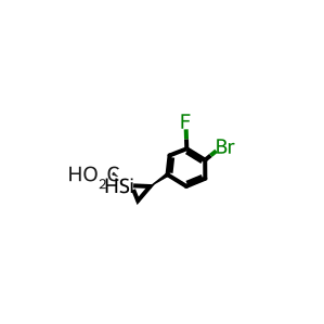 O=C(O)[Si@H]1C[C@@H]1c1ccc(Br)c(F)c1